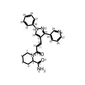 NC(=O)C1CCCCN1C(=O)/C=C/c1cn(-c2ccccc2)nc1-c1cccnc1